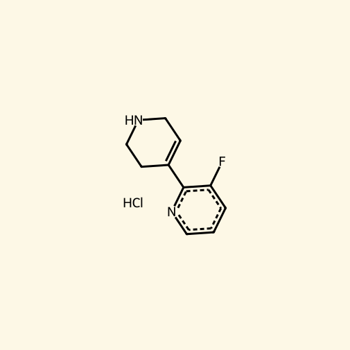 Cl.Fc1cccnc1C1=CCNCC1